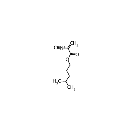 [C-]#[N+]C(=C)C(=O)OCCCC(C)C